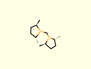 C[C@@H]1CC[C@@H](C)P1CP1[C@H](C)CC[C@H]1C